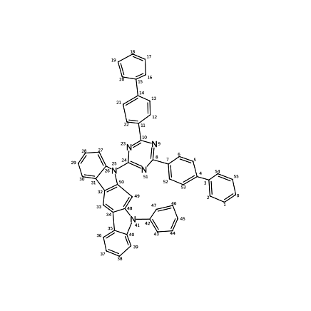 c1ccc(-c2ccc(-c3nc(-c4ccc(-c5ccccc5)cc4)nc(-n4c5ccccc5c5cc6c7ccccc7n(-c7ccccc7)c6cc54)n3)cc2)cc1